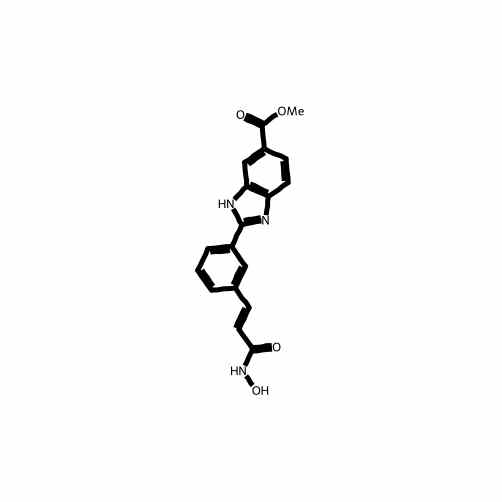 COC(=O)c1ccc2nc(-c3cccc(C=CC(=O)NO)c3)[nH]c2c1